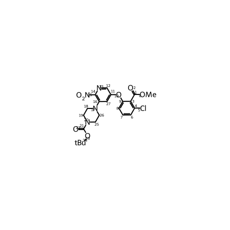 COC(=O)c1c(Cl)cccc1Oc1cnc([N+](=O)[O-])c(N2CCN(C(=O)OC(C)(C)C)CC2)c1